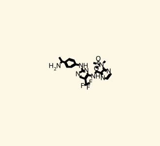 CC(N)c1ccc(Nc2ncc(C(F)(F)F)c(NCc3nccnc3N(C)S(C)(=O)=O)n2)cc1